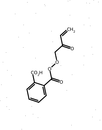 C=CC(=O)COOC(=O)c1ccccc1C(=O)O